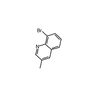 Cc1cnc2c(Br)cccc2c1